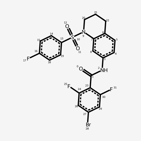 O=C(Nc1ccc2c(c1)N(S(=O)(=O)c1ccc(F)cc1)CCC2)c1c(F)cc(Br)cc1F